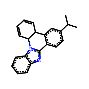 CC(C)c1ccc2c(c1)C1C=CC=CC1n1c-2nc2ccccc21